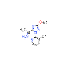 CCOc1nc([C@H](C)N)n(-c2ncccc2C#N)n1